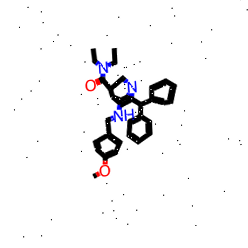 CCN(CC)C(=O)C1CN2CCC1C(NCc1ccc(OC)cc1)C2C(c1ccccc1)c1ccccc1